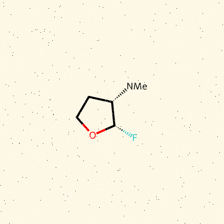 CN[C@H]1CCO[C@H]1F